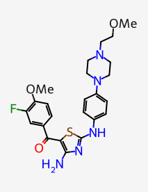 COCCN1CCN(c2ccc(Nc3nc(N)c(C(=O)c4ccc(OC)c(F)c4)s3)cc2)CC1